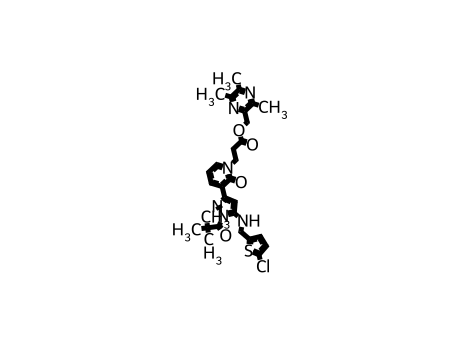 Cc1nc(C)c(COC(=O)CCn2cccc(-c3cc(NCc4ccc(Cl)s4)n(C(=O)C(C)(C)C)n3)c2=O)nc1C